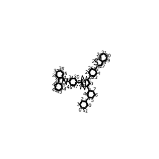 c1ccc(-c2cccc(-c3cc(-c4ccc(-c5cc6ccccc6s5)cc4)nc(-c4ccc(-n5c6ccccc6c6ccccc65)cc4)n3)c2)cc1